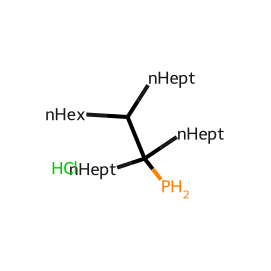 CCCCCCCC(CCCCCC)C(P)(CCCCCCC)CCCCCCC.Cl